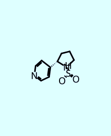 O=[SH](=O)N1CCC[C@H]1c1ccncc1